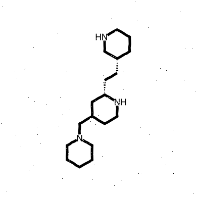 C1CCN(CC2CCN[C@@H](CC[C@H]3CCCNC3)C2)CC1